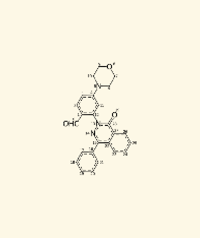 O=Cc1ccc(N2CCOCC2)cc1-n1nc(-c2ccccc2)c2ccccc2c1=O